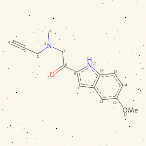 C#CCN(C)CC(=O)c1cc2cc(OC)ccc2[nH]1